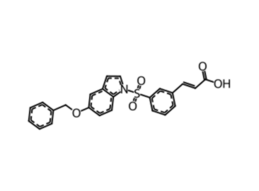 O=C(O)/C=C/c1cccc(S(=O)(=O)n2ccc3cc(OCc4ccccc4)ccc32)c1